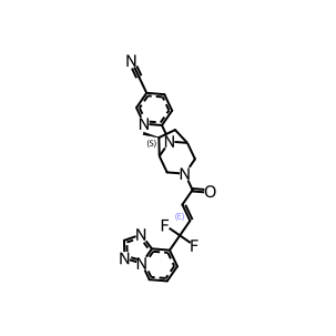 C[C@H]1CC2CN(C(=O)/C=C/C(F)(F)c3cccn4ncnc34)CC1N2c1ccc(C#N)cn1